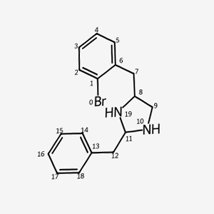 Brc1ccccc1CC1CNC(Cc2ccccc2)N1